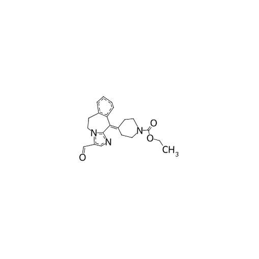 CCOC(=O)N1CCC(=C2c3ccccc3CCn3c(C=O)cnc32)CC1